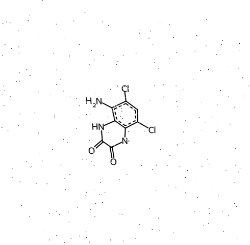 Nc1c(Cl)cc(Cl)c2c1NC(=O)C(=O)[N]2